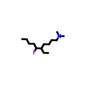 CCCCC(I)C(CC)CCCCN(C)C